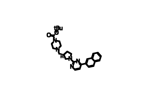 CC(C)(C)OC(=O)N1CCN(C[C@H]2CCN(c3nccc(-c4ccc5ccccc5c4)n3)C2)CC1